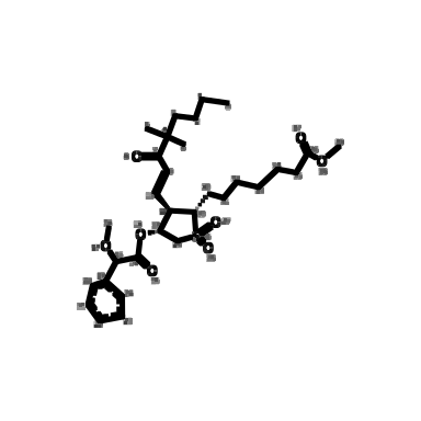 CCCCC(C)(C)C(=O)C=C[C@@H]1[C@@H](OC(=O)C(OC)c2ccccc2)CS(=O)(=O)[C@H]1CCCCCCC(=O)OC